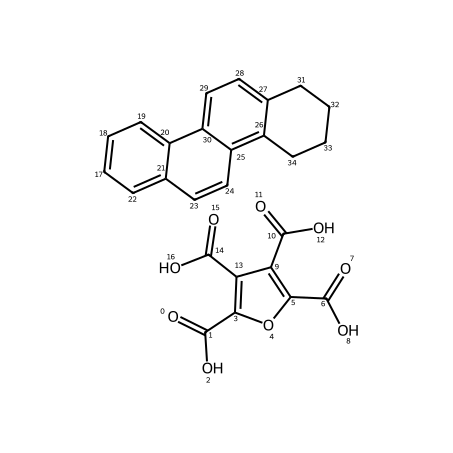 O=C(O)c1oc(C(=O)O)c(C(=O)O)c1C(=O)O.c1ccc2c(c1)ccc1c3c(ccc12)CCCC3